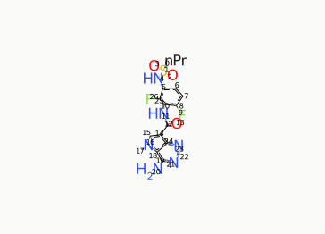 CCCS(=O)(=O)Nc1ccc(F)c(NC(=O)c2cn(C)c3c(N)ncnc23)c1F